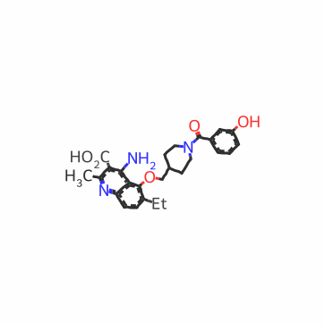 CCc1ccc2nc(C)c(C(=O)O)c(N)c2c1OCC1CCN(C(=O)c2cccc(O)c2)CC1